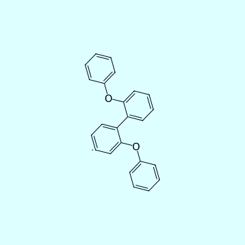 [c]1ccc(-c2ccccc2Oc2ccccc2)c(Oc2ccccc2)c1